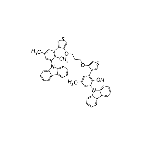 Cc1cc(-c2cscc2OCCCOc2cscc2-c2cc(C)cc(-n3c4ccccc4c4ccccc43)c2O)c(C)c(-n2c3ccccc3c3ccccc32)c1